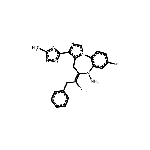 Cc1noc(-c2ncn3c2C/C(=C(/N)Cc2ccccc2)N(N)c2cc(F)ccc2-3)n1